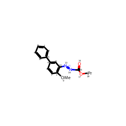 COc1ccc(-c2ccccc2)cc1/N=N/C(=O)OC(C)C